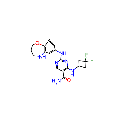 NC(=O)c1cnc(Nc2ccc3c(c2)NCCCO3)nc1NC1CC(F)(F)C1